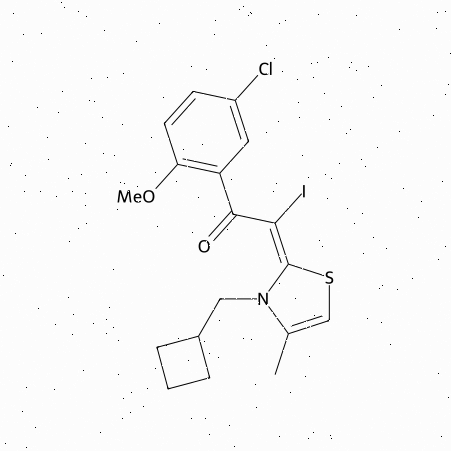 COc1ccc(Cl)cc1C(=O)C(I)=C1SC=C(C)N1CC1CCC1